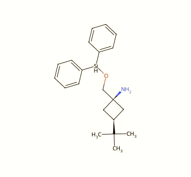 CC(C)(C)[C@H]1C[C@](N)(CO[SiH](c2ccccc2)c2ccccc2)C1